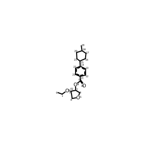 CCO[C@H]1COCC1OC(=O)c1ccc(C2CCC(C)CC2)cc1